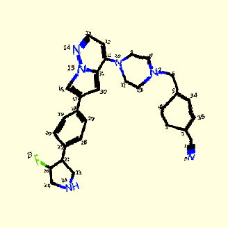 N#CC1CCC(CN2CCN(c3ccnn4cc(-c5ccc(C6CNCC6F)cc5)cc34)CC2)CC1